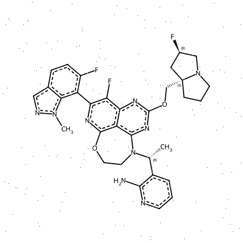 C[C@H](c1cccnc1N)N1CCOc2nc(-c3c(F)ccc4cnn(C)c34)c(F)c3nc(OC[C@@]45CCCN4C[C@H](F)C5)nc1c23